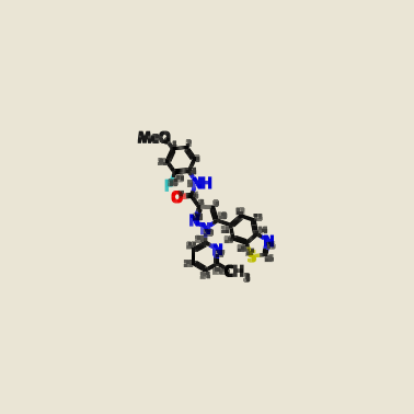 COc1ccc(NC(=O)c2cc(-c3ccc4ncsc4c3)n(-c3cccc(C)n3)n2)c(F)c1